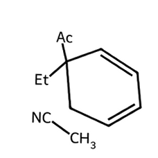 CC#N.CCC1(C(C)=O)C=CC=CC1